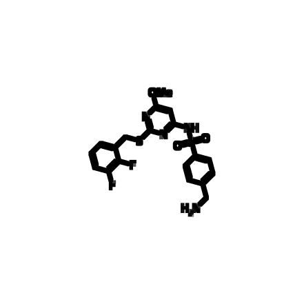 COc1cc(NS(=O)(=O)c2ccc(CN)cc2)nc(SCc2cccc(F)c2F)n1